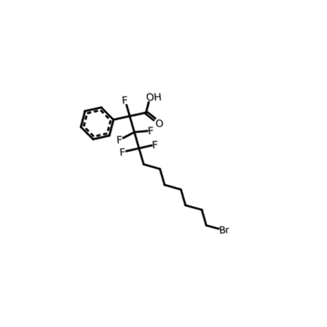 O=C(O)C(F)(c1ccccc1)C(F)(F)C(F)(F)CCCCCCCBr